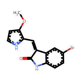 COc1cc[nH]c1C=C1C(=O)Nc2ccc(Br)cc21